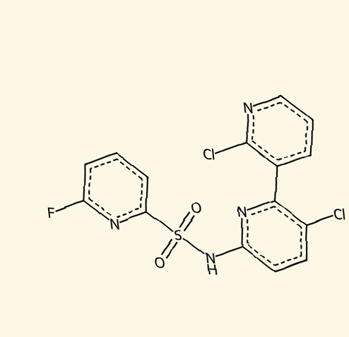 O=S(=O)(Nc1ccc(Cl)c(-c2cccnc2Cl)n1)c1cccc(F)n1